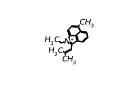 CC[N+]1=C(C=C(C)C)c2cccc3c(C)ccc1c23